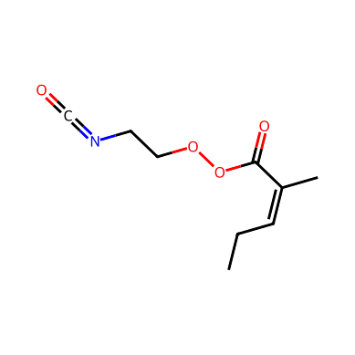 CCC=C(C)C(=O)OOCCN=C=O